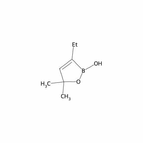 CCC1=CC(C)(C)OB1O